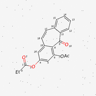 CCC(=O)Oc1cc(OC(C)=O)c2c(=O)c3ccccc3ccc2c1